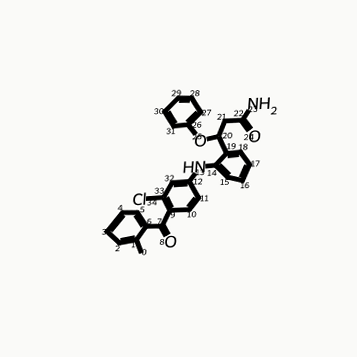 Cc1ccccc1C(=O)c1ccc(Nc2ccccc2C(CC(N)=O)Oc2ccccc2)cc1Cl